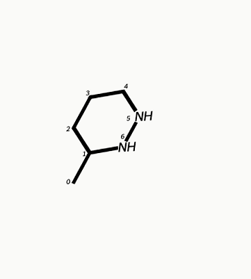 CC1CCCNN1